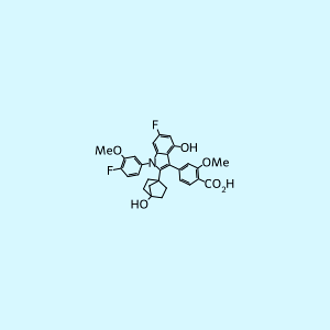 COc1cc(-n2c(C34CCC(O)(CC3)C4)c(-c3ccc(C(=O)O)c(OC)c3)c3c(O)cc(F)cc32)ccc1F